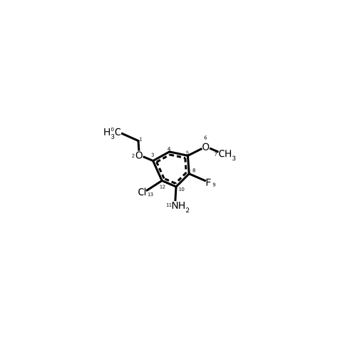 CCOc1cc(OC)c(F)c(N)c1Cl